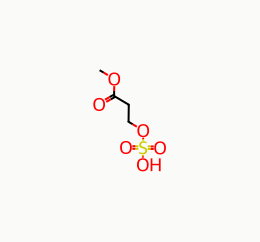 COC(=O)CCOS(=O)(=O)O